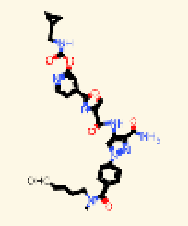 CN(CCCCC=O)C(=O)c1ccc(-n2cc(NC(=O)c3coc(-c4ccnc(OC(=O)NCC5CC5)c4)n3)c(C(N)=O)n2)cc1